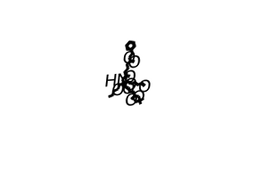 CCCOCC(COCCC=O)(COCCC(=O)OC(C)(C)C)NC(=O)CCCC(=O)OCc1ccccc1